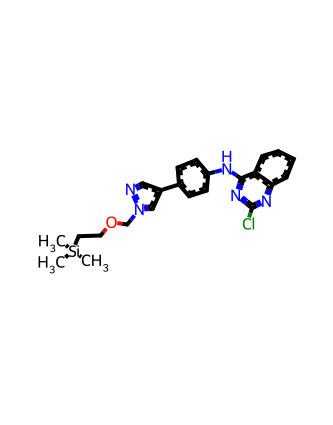 C[Si](C)(C)CCOCn1cc(-c2ccc(Nc3nc(Cl)nc4ccccc34)cc2)cn1